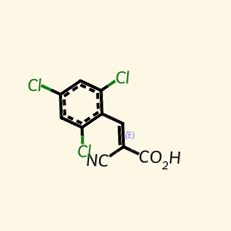 N#C/C(=C\c1c(Cl)cc(Cl)cc1Cl)C(=O)O